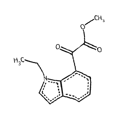 CCn1ccc2cccc(C(=O)C(=O)OC)c21